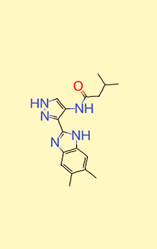 Cc1cc2nc(-c3n[nH]cc3NC(=O)CC(C)C)[nH]c2cc1C